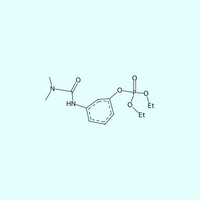 CCOP(=O)(OCC)Oc1cccc(NC(=O)N(C)C)c1